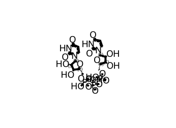 O=c1ccn([C@@H]2O[C@H](COP(=O)(O)OP(=O)(O)OP(=O)(O)OC[C@@H]3O[C@H](n4ccc(=O)[nH]c4=O)C(O)[C@@H]3O)C(O)[C@@H]2O)c(=O)[nH]1